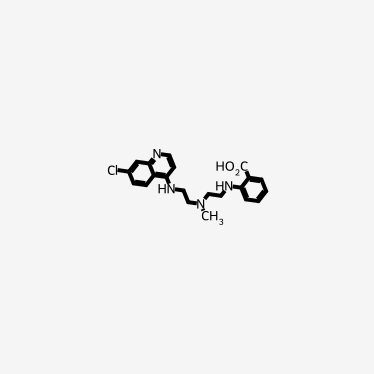 CN(CCNc1ccccc1C(=O)O)CCNc1ccnc2cc(Cl)ccc12